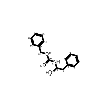 CC(Cc1ccccc1)NC(=O)OCc1ccccc1